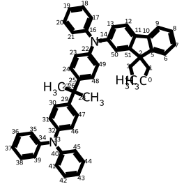 CCC1(CC)c2ccccc2-c2ccc(N(c3ccccc3)c3ccc(C(C)(C)c4ccc(N(c5ccccc5)c5ccccc5)cc4)cc3)cc21